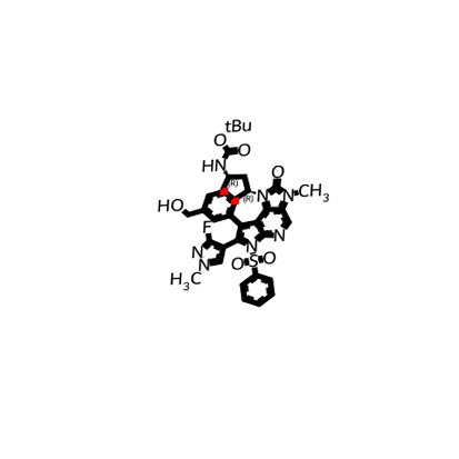 Cn1cc(-c2c(-c3cccc(CO)c3)c3c(ncc4c3n([C@@H]3CC[C@@H](NC(=O)OC(C)(C)C)C3)c(=O)n4C)n2S(=O)(=O)c2ccccc2)c(F)n1